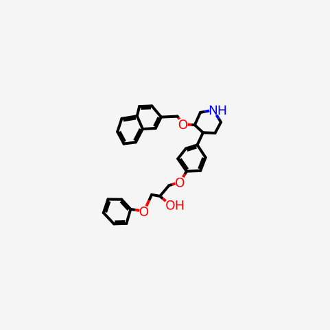 OC(COc1ccccc1)COc1ccc(C2CCNCC2OCc2ccc3ccccc3c2)cc1